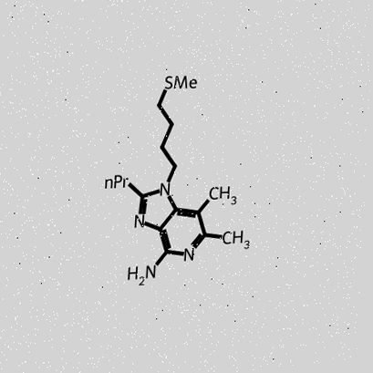 CCCc1nc2c(N)nc(C)c(C)c2n1CCCCSC